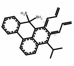 BC1(B)c2ccccc2-c2cccc3c(C(C)C)c(=C/C=C)/c(=C\C=C)c1c23